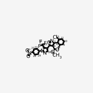 COC(=O)c1c(-c2c(F)cccc2Cl)noc1-c1cnn(-c2ccc([N+](=O)[O-])cc2)c1C(F)(F)F